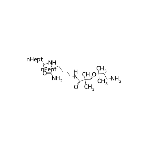 CCCCCCCC(CCCCC)NC(CCCCNC(=O)C(C)(C)COC(C)(C)CCN)C(N)=O